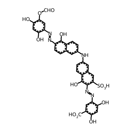 O=COc1cc(N=Nc2ccc3cc(Nc4ccc5c(O)c(N=Nc6cc(C(=O)O)c(O)cc6O)c(S(=O)(=O)O)cc5c4)ccc3c2O)c(O)cc1O